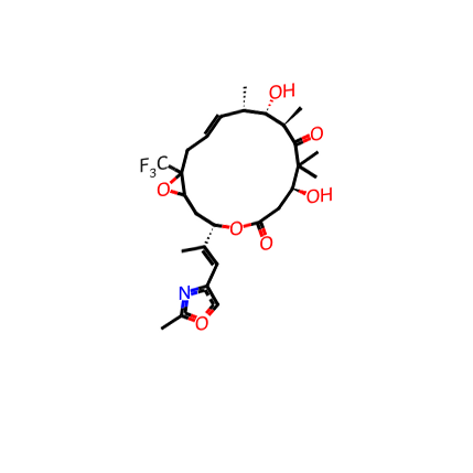 C/C(=C\c1coc(C)n1)[C@@H]1CC2OC2(C(F)(F)F)C/C=C/[C@H](C)[C@H](O)[C@@H](C)C(=O)C(C)(C)[C@@H](O)CC(=O)O1